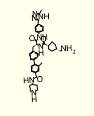 Cc1nnc(-c2ccc(NC(=O)[C@H](Cc3ccc(-c4ccc(C(=O)NC5CCNCC5)cc4C)cc3)NC(=O)[C@H]3CC[C@H](CN)CC3)cc2)[nH]1